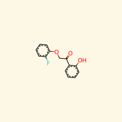 O=C(COc1ccccc1F)c1ccccc1O